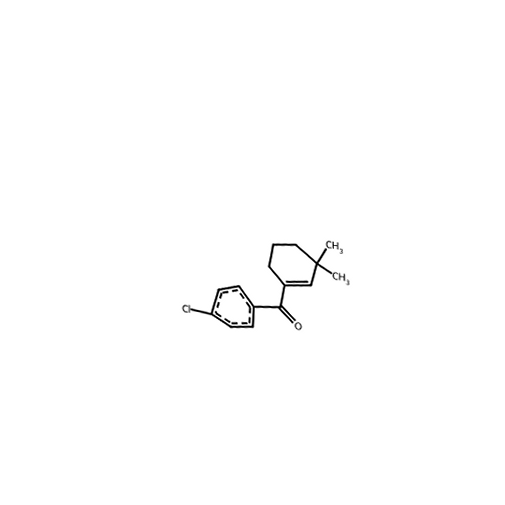 CC1(C)C=C(C(=O)c2ccc(Cl)cc2)CCC1